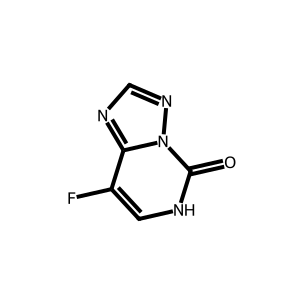 O=c1[nH]cc(F)c2ncnn12